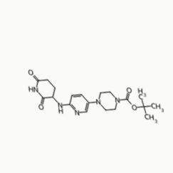 CC(C)(C)OC(=O)N1CCN(c2ccc(NC3CCC(=O)NC3=O)nc2)CC1